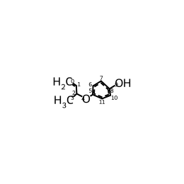 C=CC(C)Oc1ccc(O)cc1